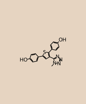 Cn1nnnc1-c1cc(-c2ccc(O)cc2)sc1-c1ccc(O)cc1